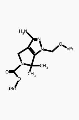 CCCOCn1nc(N)c2c1C(C)(C)N(C(=O)OC(C)(C)C)C2